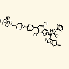 CS(=O)(=O)OCC1CCN(c2ccc(-c3cc(Cl)c4cn([C@@H](C(=O)Nc5nccs5)c5ncn6c5C[C@@H](F)C6)nc4c3Cl)cc2)CC1